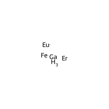 [Er].[Eu].[Fe].[GaH3]